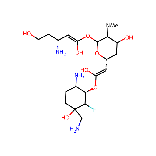 CNC1C(O)C[C@H](/C=C(\O)O[C@@H]2C(N)CCC(O)(CN)C2F)OC1O/C(O)=C/[C@H](N)CCO